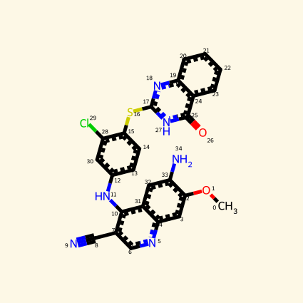 COc1cc2ncc(C#N)c(Nc3ccc(Sc4nc5ccccc5c(=O)[nH]4)c(Cl)c3)c2cc1N